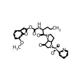 CCCC(NC(=O)Oc1cc2cccc(OC)c2o1)C(=O)N1CCC2C1C(=O)CN2S(=O)(=O)c1ccccn1